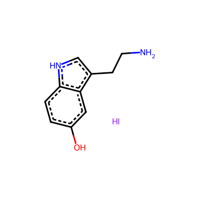 I.NCCc1c[nH]c2ccc(O)cc12